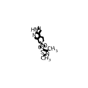 Cc1nc(C)c(S(=O)(=O)N2CCc3c(cnc4[nH]ncc34)C2)s1